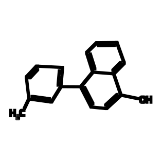 Cc1cccc(-c2ccc(O)c3ccccc23)c1